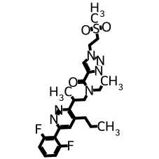 CCCc1cc(-c2c(F)cccc2F)nnc1C(C)CN(CC)C(=O)c1cn(CCS(C)(=O)=O)nn1